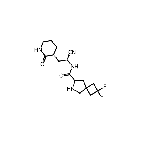 N#C[C@H](C[C@@H]1CCCNC1=O)NC(=O)C1CC2(CN1)CC(F)(F)C2